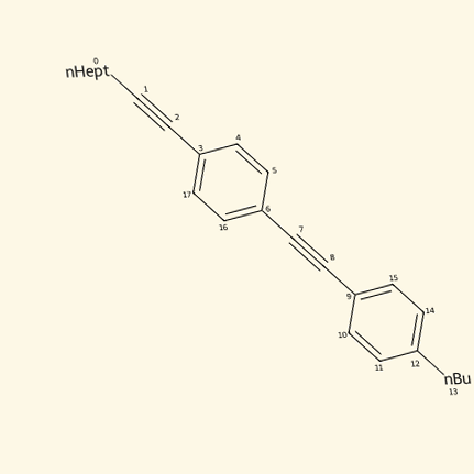 CCCCCCCC#Cc1ccc(C#Cc2ccc(CCCC)cc2)cc1